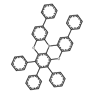 c1ccc(-c2ccc3c(c2)B2c4cc(-c5ccccc5)ccc4Oc4c2c(c(-c2ccccc2)c(-c2ccccc2)c4-c2ccccc2)O3)cc1